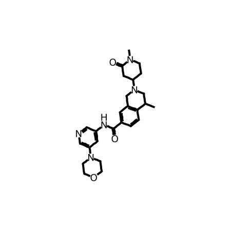 CC1CN(C2CCN(C)C(=O)C2)Cc2cc(C(=O)Nc3cncc(N4CCOCC4)c3)ccc21